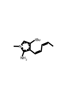 C/C=C\C=C/c1c(C(C)(C)C)cn(C)c1N